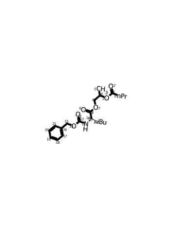 CCCC(=O)OC(C)COC(=O)[C@@H](NC(=O)OCc1ccccc1)[C@@H](C)CC